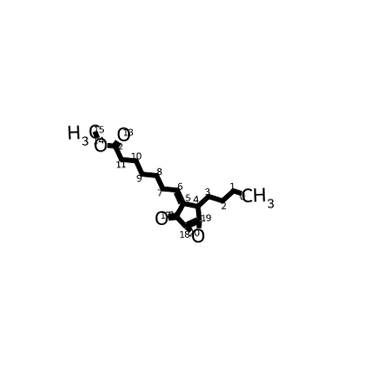 CCCCC1C(=CCCCCCC(=O)OC)C(=O)C2=C1O2